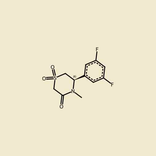 CN1C(=O)CS(=O)(=O)C[C@H]1c1cc(F)cc(F)c1